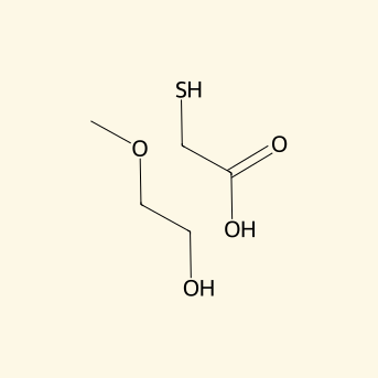 COCCO.O=C(O)CS